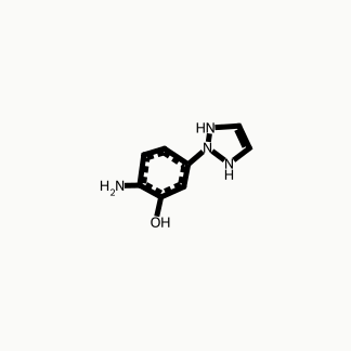 Nc1ccc(N2NC=CN2)cc1O